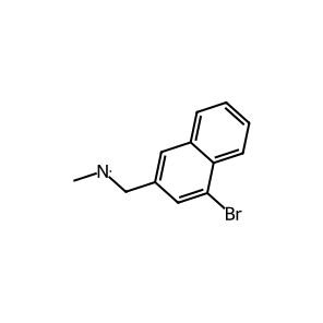 C[N]Cc1cc(Br)c2ccccc2c1